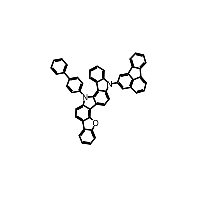 c1ccc(-c2ccc(-n3c4ccc5c6ccccc6oc5c4c4ccc5c(c6ccccc6n5-c5cc6c7c(cccc7c5)-c5ccccc5-6)c43)cc2)cc1